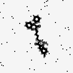 Cn1c(C(=O)NCCCCCC(=O)N(c2ccccc2)c2ccccc2N)cc2cc(F)ccc21